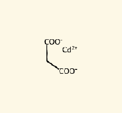 O=C([O-])CC(=O)[O-].[Cd+2]